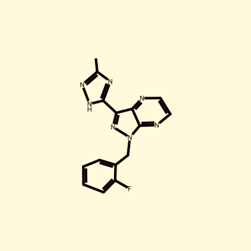 Cc1n[nH]c(-c2nn(Cc3ccccc3F)c3nccnc23)n1